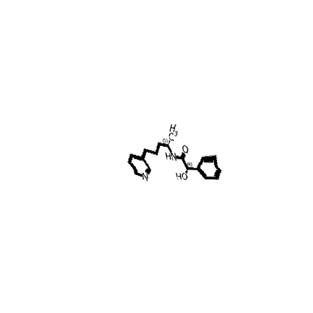 C[C@@H](CCCc1cccnc1)NC(=O)[C@H](O)c1ccccc1